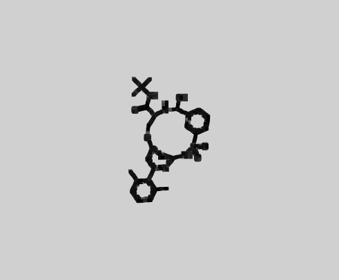 Cc1cccc(C)c1-c1cc2nc(n1)NS(=O)(=O)c1cccc(c1)C(O)NC(C(=O)NC(C)(C)C)CO2